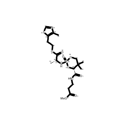 COC(=O)CCNC(=O)[C@@H]1OP(=O)(N[C@H](C)C(=O)OCCc2scnc2C)OCC1(C)C